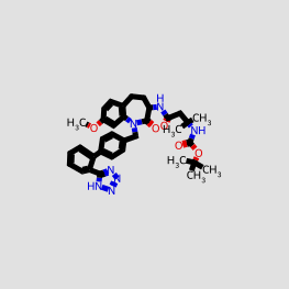 COc1ccc2c(c1)N(Cc1ccc(-c3ccccc3-c3nnn[nH]3)cc1)C(=O)C(NC(=O)CC(C)(C)NC(=O)OC(C)(C)C)CC2